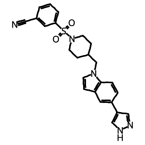 N#Cc1cccc(S(=O)(=O)N2CCC(Cn3ccc4cc(-c5cn[nH]c5)ccc43)CC2)c1